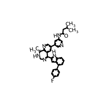 CC(C)CC(=O)Nc1cncc(-c2cnc3c(c2)C(c2cc4c(-c5ccc(F)cc5)cccc4[nH]2)=NCN[C@@H]3C)c1